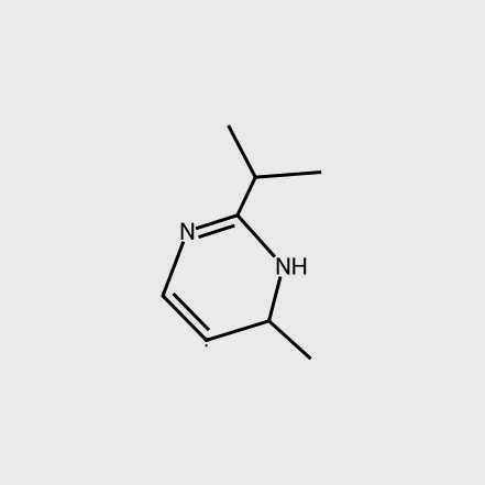 CC1[C]=CN=C(C(C)C)N1